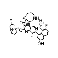 CCc1c(F)ccc2cc(O)cc(-c3ncc4c(C5CNCCCC6CC65C(=O)O)nc(OC[C@@]56CCCN5C[C@H](F)C6)nc4c3F)c12